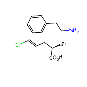 CC(C)[C@H](C/C=C/Cl)C(=O)O.NCCc1ccccc1